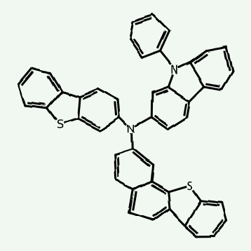 c1ccc(-n2c3ccccc3c3ccc(N(c4ccc5c(c4)sc4ccccc45)c4ccc5ccc6c7ccccc7sc6c5c4)cc32)cc1